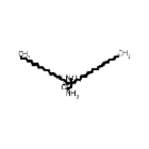 CCCCCCCCCCCCCCCCCCC(CCCCCCCCCCCCCCCCCC)(CC(N)=O)C(N)=O